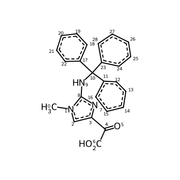 Cn1cc(C(=O)C(=O)O)nc1NC(c1ccccc1)(c1ccccc1)c1ccccc1